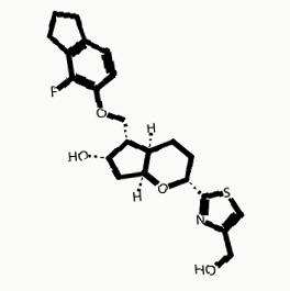 OCc1csc([C@H]2CC[C@@H]3[C@@H](COc4ccc5c(c4F)CCC5)[C@@H](O)C[C@@H]3O2)n1